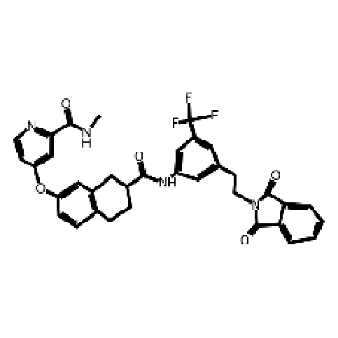 CNC(=O)c1cc(Oc2ccc3c(c2)CC(C(=O)Nc2cc(CCN4C(=O)c5ccccc5C4=O)cc(C(F)(F)F)c2)CC3)ccn1